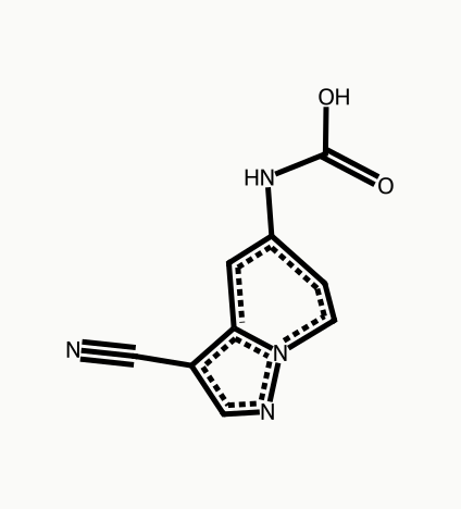 N#Cc1cnn2ccc(NC(=O)O)cc12